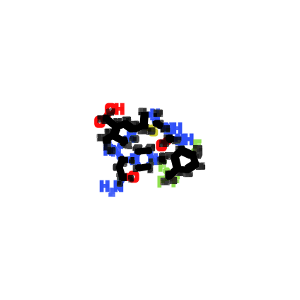 CN1CCN(C(CC(N)=O)n2ncc3c(C(=O)O)cc(-c4cnc(NC(=O)Nc5cc(C(F)(F)F)ccc5F)s4)nc32)CC1